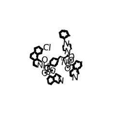 CN([C@@H](Cc1ccc(OS(=O)(=O)c2cccc3cnccc23)cc1)C(=O)N1CCN(c2ccccc2)CC1)S(=O)(=O)c1cccc2cnccc12.O=c1[nH]ccc2ccc3ccc(Cl)cc3c12